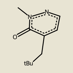 Cn1nccc(CC(C)(C)C)c1=O